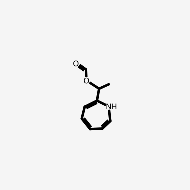 CC(OC=O)C1=CC=CC=CN1